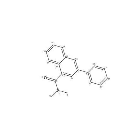 CN(C)C(=O)c1cc(-c2ccccc2)cc2ccccc12